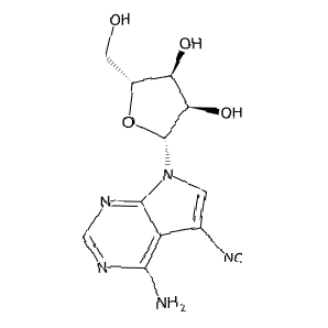 [C-]#[N+]c1cn([C@@H]2O[C@H](CO)[C@@H](O)[C@H]2O)c2ncnc(N)c12